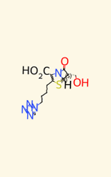 O=C(O)C1=C(CCCCn2cnnn2)S[C@@H]2[C@@H](CO)C(=O)N12